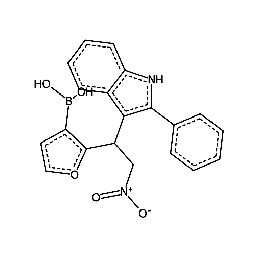 O=[N+]([O-])CC(c1occc1B(O)O)c1c(-c2ccccc2)[nH]c2ccccc12